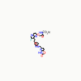 O=C(O)N[C@H]1COC1COc1ccc2ncc(F)c(CCC34CCC(NCc5ccc6c(n5)NC(=O)CO6)(CC3)CO4)c2n1